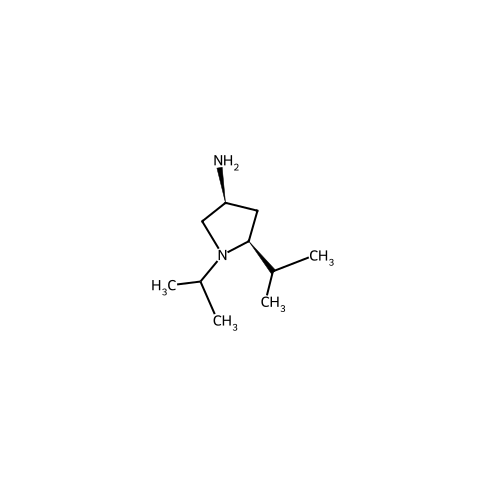 CC(C)[C@@H]1C[C@H](N)CN1C(C)C